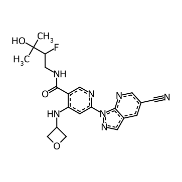 CC(C)(O)C(F)CNC(=O)c1cnc(-n2ncc3cc(C#N)cnc32)cc1NC1COC1